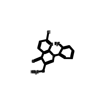 O=C(O)Oc1cn(-c2ccccc2C(F)(F)F)c2nc(Cl)ccc2c1=O